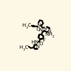 CC#CC(=O)N1CCCCC1c1nc(-c2ccc(C(=O)Nc3cc(CCC)ccn3)c(F)c2)c2c(N)nccn12